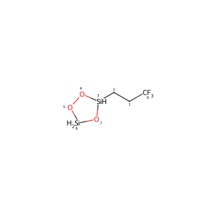 FC(F)(F)CC[SiH]1OO[SiH2]O1